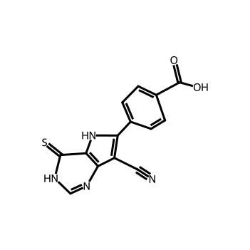 N#Cc1c(-c2ccc(C(=O)O)cc2)[nH]c2c(=S)[nH]cnc12